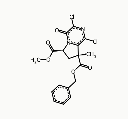 COC(=O)[C@@H]1C[C@@](C)(C(=O)OCc2ccccc2)c2c(Cl)nc(Cl)c(=O)n21